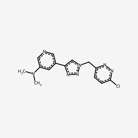 CN(C)c1cncc(-c2cn(Cc3ccc(Cl)nn3)nn2)c1